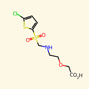 O=C(O)COCCNCS(=O)(=O)c1ccc(Cl)s1